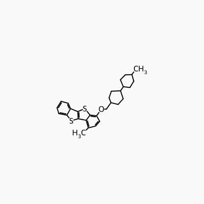 Cc1ccc(OCC2CCC(C3CCC(C)CC3)CC2)c2sc3c4ccccc4sc3c12